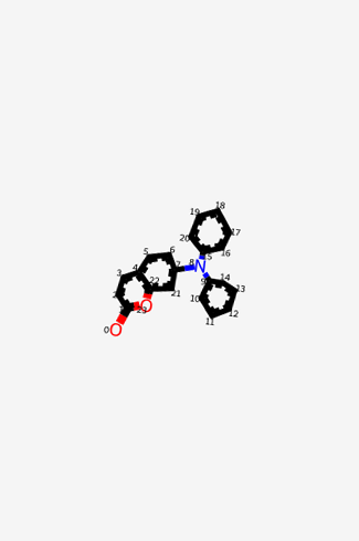 O=c1ccc2ccc(N(c3ccccc3)c3ccccc3)cc2o1